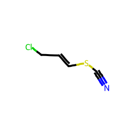 N#CSC=CCCl